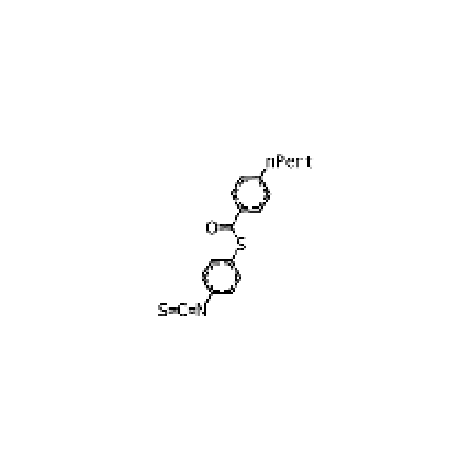 CCCCCc1ccc(C(=O)Sc2ccc(N=C=S)cc2)cc1